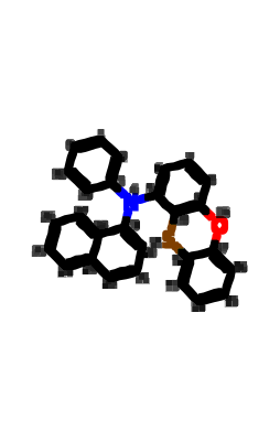 c1ccc(N(c2cccc3c2Sc2ccccc2O3)c2cccc3ccccc23)cc1